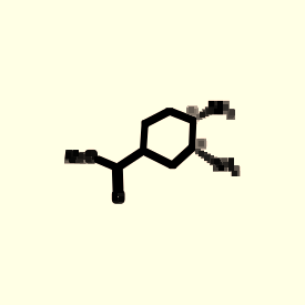 COC(=O)C1CC[C@H](N)[C@H](N)C1